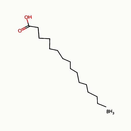 B.CCCCCCCCCCCCCCCC(=O)O